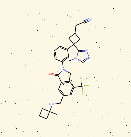 Cn1cnnc1C1(c2cccc(N3Cc4c(cc(CNC5(C)CCC5)cc4C(F)(F)F)C3=O)c2)CC(CC#N)C1